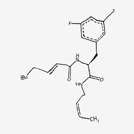 C/C=C\CNC(=O)[C@H](Cc1cc(F)cc(F)c1)NC(=O)/C=C/CC(C)CC